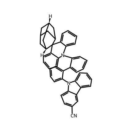 N#Cc1ccc2c(c1)c1ccccc1n2-c1ccccc1-c1ccccc1N1c2ccccc2C2(c3ccccc31)C1CC3C[C@H](C1)C[C@H]2C3